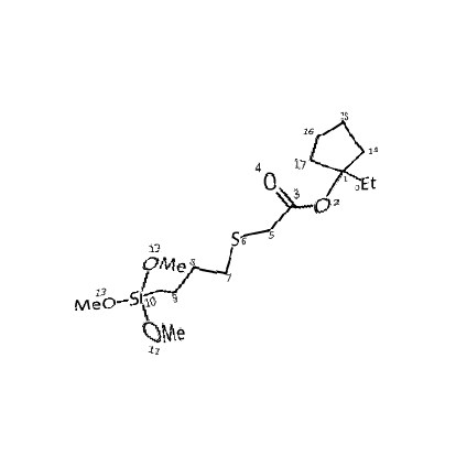 CCC1(OC(=O)CSCCC[Si](OC)(OC)OC)CCCC1